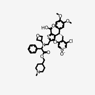 COc1ccc([C@H](Cc2c(Cl)c[n+]([O-])cc2Cl)c2cc(CN(C3COC3)C(C(=O)OCC3CCN(C)CC3)c3ccccc3)sc2C(=O)O)cc1OC